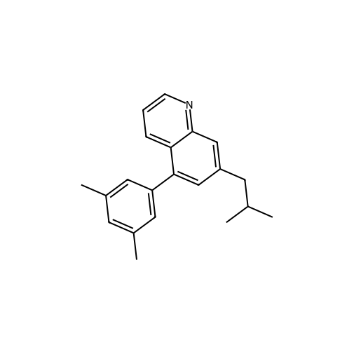 Cc1cc(C)cc(-c2cc(CC(C)C)cc3ncccc23)c1